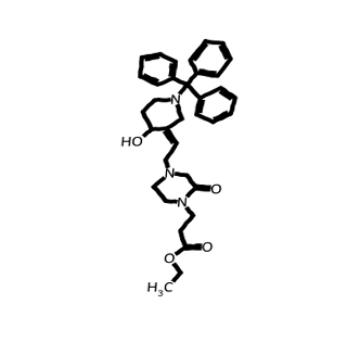 CCOC(=O)CCN1CCN(C/C=C2/CN(C(c3ccccc3)(c3ccccc3)c3ccccc3)CCC2O)CC1=O